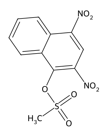 CS(=O)(=O)Oc1c([N+](=O)[O-])cc([N+](=O)[O-])c2ccccc12